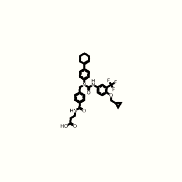 O=C(O)CCNC(=O)c1ccc(CN(C(=O)Nc2ccc(OCC3CC3)c(C(F)(F)F)c2)c2ccc(C3=CCCCC3)cc2)cc1